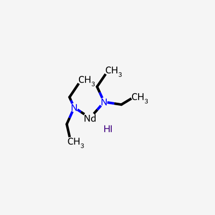 CC[N](CC)[Nd][N](CC)CC.I